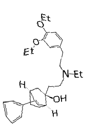 CCOc1ccc(CCN(CC)CC[C@@]2(O)C[C@@H]3CC[C@H]2C=C3c2ccccc2)cc1OCC